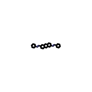 C(=C\c1ccc2cc3cc(/C=C/c4ccccc4)ccc3cc2c1)/c1ccccc1